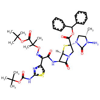 C[C@H]1CN([C@]2(C(=O)OC(c3ccccc3)c3ccccc3)CN3C(=O)[C@@H](NC(=O)/C(=N\OC(C)(C)C(=O)OC(C)(C)C)c4csc(NC(=O)OC(C)(C)C)n4)[C@H]3S2)C(=O)N1N